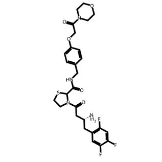 N[C@@H](CC(=O)N1CCSC1C(=O)NCc1ccc(OCC(=O)N2CCOCC2)cc1)Cc1cc(F)c(F)cc1F